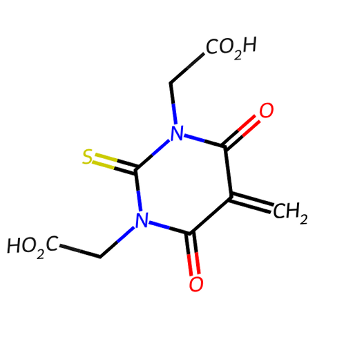 C=C1C(=O)N(CC(=O)O)C(=S)N(CC(=O)O)C1=O